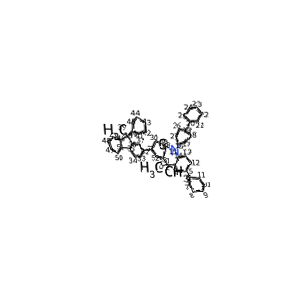 CC1(C)c2cc(-c3ccccc3)ccc2N(c2ccc(-c3ccccc3)cc2)c2ccc(-c3ccc4c(c3)C(C)(c3ccccc3)c3ccccc3-4)cc21